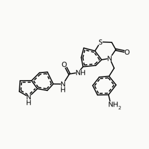 Nc1cccc(CN2C(=O)CSc3ccc(NC(=O)Nc4ccc5cc[nH]c5c4)cc32)c1